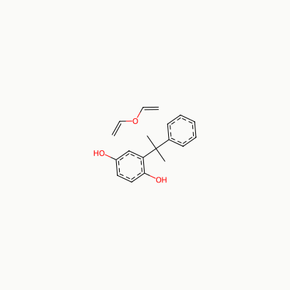 C=COC=C.CC(C)(c1ccccc1)c1cc(O)ccc1O